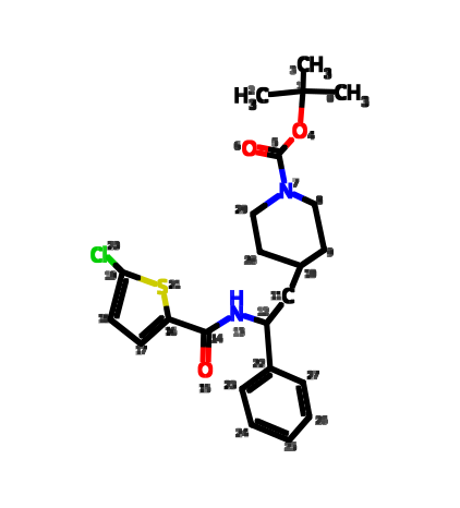 CC(C)(C)OC(=O)N1CCC(CC(NC(=O)c2ccc(Cl)s2)c2ccccc2)CC1